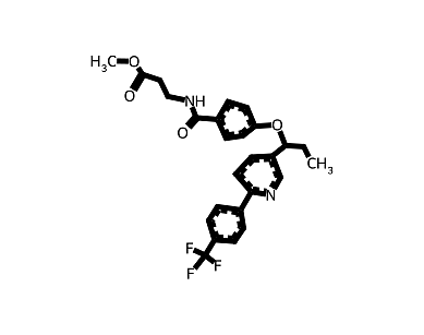 CCC(Oc1ccc(C(=O)NCCC(=O)OC)cc1)c1ccc(-c2ccc(C(F)(F)F)cc2)nc1